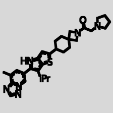 Cc1cc(-c2[nH]c3cc(C4CCC5(CC4)CN(C(=O)CN4CCCC4)C5)sc3c2C(C)C)cn2ncnc12